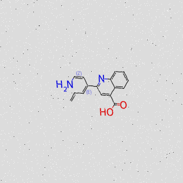 C=C/C=C(\C=C/N)c1cc(C(=O)O)c2ccccc2n1